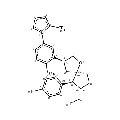 CSc1ccc(-n2cncc2C(F)(F)F)cc1[C@H]1CO[C@]2(CC[C@H](CI)[C@H]2c2ccc(F)cc2)C1